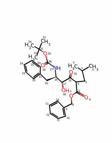 CC(C)CC(C(=O)OCc1ccccc1)C(=O)[C@@H](O)[C@@H](Cc1ccccc1)NC(=O)OC(C)(C)C